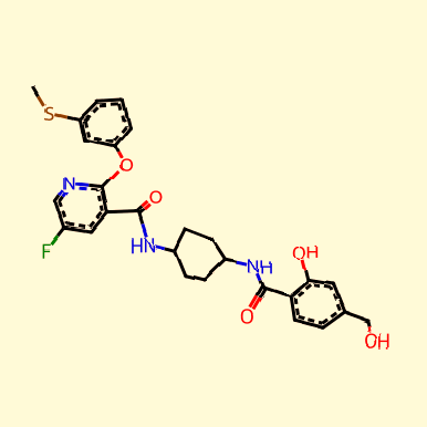 CSc1cccc(Oc2ncc(F)cc2C(=O)NC2CCC(NC(=O)c3ccc(CO)cc3O)CC2)c1